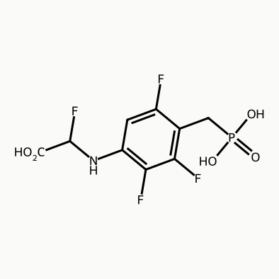 O=C(O)C(F)Nc1cc(F)c(CP(=O)(O)O)c(F)c1F